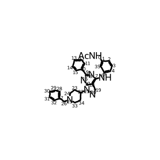 CC(=O)Nc1cccc(Nc2nc(-c3ccccc3)nc3c2cnn3C2CCN(Cc3ccccc3)CC2)c1